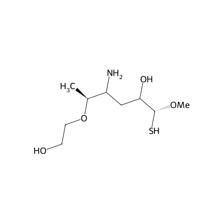 CO[C@H](S)C(O)CC(N)[C@H](C)OCCO